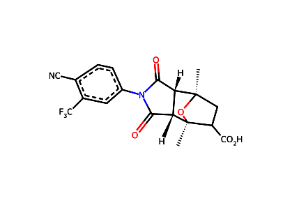 C[C@]12CC(C(=O)O)[C@](C)(O1)[C@@H]1C(=O)N(c3ccc(C#N)c(C(F)(F)F)c3)C(=O)[C@@H]12